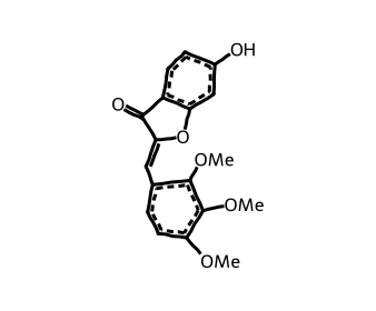 COc1ccc(/C=C2\Oc3cc(O)ccc3C2=O)c(OC)c1OC